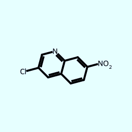 O=[N+]([O-])c1ccc2cc(Cl)cnc2c1